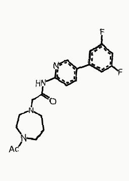 CC(=O)N1CCCN(CC(=O)Nc2ccc(-c3cc(F)cc(F)c3)cn2)CC1